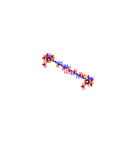 CC(=O)N[C@H]1[C@H](OCCCNC(=O)CCNC(=O)NOCC(O)COC(=O)NCCC(=O)NC(=O)CC[C@H]2O[C@H](COC(C)=O)[C@H](OC(C)=O)[C@H](OC(C)=O)[C@@H]2NC(C)=O)O[C@H](COC(C)=O)[C@H](OC(C)=O)[C@@H]1OC(C)=O